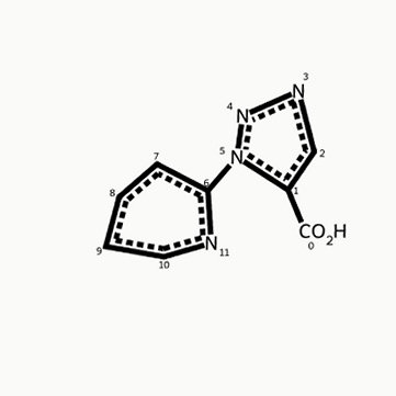 O=C(O)c1cnnn1-c1ccccn1